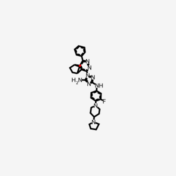 Nc1nc(Nc2ccc(N3CCC(N4CCCC4)CC3)c(F)c2)nn1-c1nnc(-c2ccccc2)c2c1C1CCC2C1